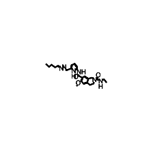 CCCC/C=N/N=C/C1=CC=CC(NC(=O)c2cc3c(cc2OC)CCN(C(=O)NCC)C3)N1